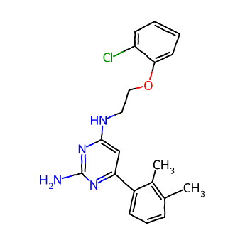 Cc1cccc(-c2cc(NCCOc3ccccc3Cl)nc(N)n2)c1C